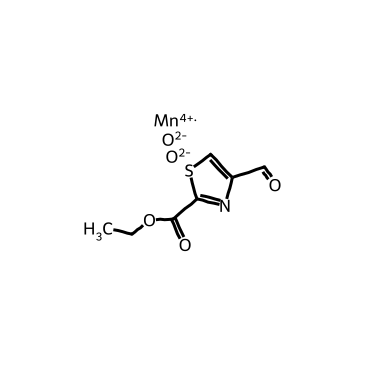 CCOC(=O)c1nc(C=O)cs1.[Mn+4].[O-2].[O-2]